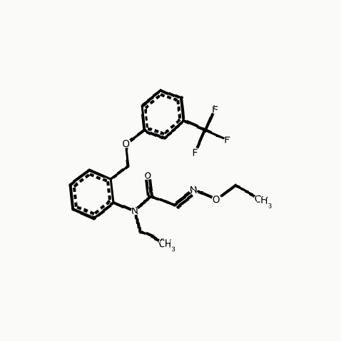 CCON=CC(=O)N(CC)c1ccccc1COc1cccc(C(F)(F)F)c1